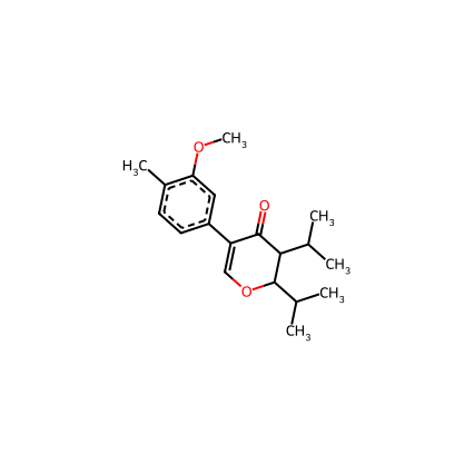 COc1cc(C2=COC(C(C)C)C(C(C)C)C2=O)ccc1C